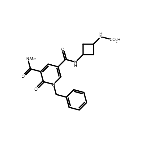 CNC(=O)c1cc(C(=O)NC2CC(NC(=O)O)C2)cn(Cc2ccccc2)c1=O